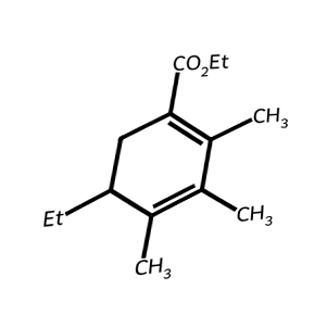 CCOC(=O)C1=C(C)C(C)=C(C)C(CC)C1